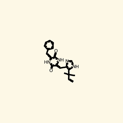 C=CC(C)(C)c1[nH]cnc1C=c1[nH]c(=O)c(=Cc2ccccc2)[nH]c1=O